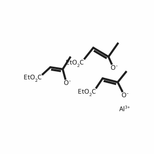 CCOC(=O)C=C(C)[O-].CCOC(=O)C=C(C)[O-].CCOC(=O)C=C(C)[O-].[Al+3]